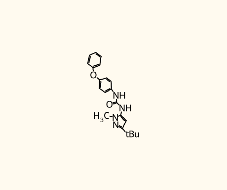 Cn1nc(C(C)(C)C)cc1NC(=O)Nc1ccc(Oc2ccccc2)cc1